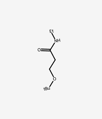 CCNC(=O)CCOC(C)(C)C